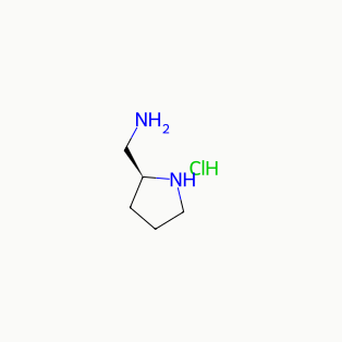 Cl.NC[C@@H]1CCCN1